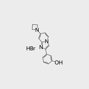 Br.Oc1cccc(-c2cn3ccc(N4CCC4)cc3n2)c1